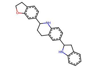 c1ccc2c(c1)CC(c1ccc3c(c1)CCC(c1ccc4c(c1)OCC4)N3)N2